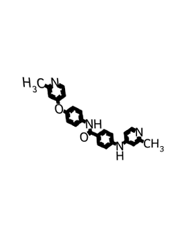 Cc1cc(Nc2ccc(C(=O)Nc3ccc(Oc4ccnc(C)c4)cc3)cc2)ccn1